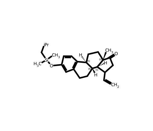 C=CC1CC(=O)[C@@]2(C)CC[C@@H]3c4ccc(O[Si](C)(C)CC(C)C)cc4CC[C@H]3[C@H]12